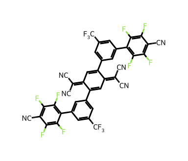 N#CC(C#N)=c1cc(-c2cc(-c3c(F)c(F)c(C#N)c(F)c3F)cc(C(F)(F)F)c2)c(=C(C#N)C#N)cc1-c1cc(-c2c(F)c(F)c(C#N)c(F)c2F)cc(C(F)(F)F)c1